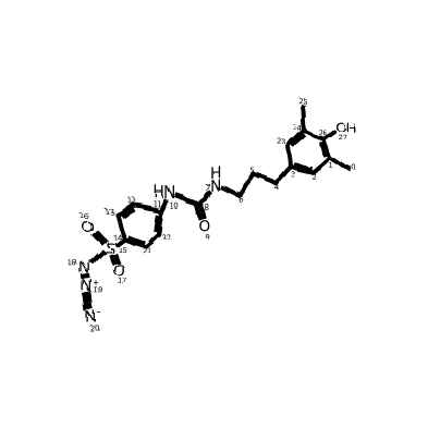 Cc1cc(CCCNC(=O)Nc2ccc(S(=O)(=O)N=[N+]=[N-])cc2)cc(C)c1O